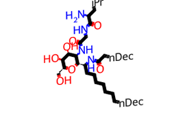 CCCCCCCCCCCCCCCCCC(NC(=O)CCCCCCCCCCC)[C@@H]1O[C@H](CO)[C@@H](O)[C@H](O)[C@H]1NC(=O)CNC(=O)[C@@H](N)CC(C)C